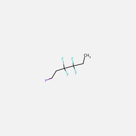 CCC(F)(F)C(F)(F)CCI